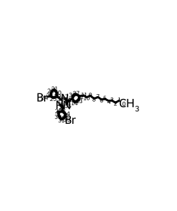 CCCCCCCCCCCCc1ccc(-c2nc(-c3cccc(Br)c3)nc(-c3cccc(Br)c3)n2)cc1